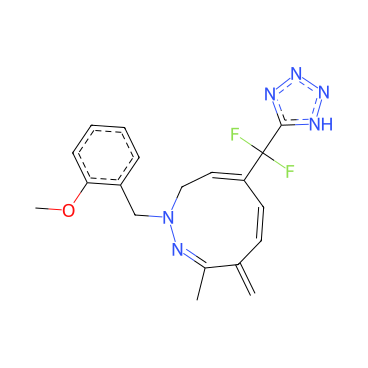 C=C1/C=C\C(C(F)(F)c2nnn[nH]2)=C/CN(Cc2ccccc2OC)/N=C\1C